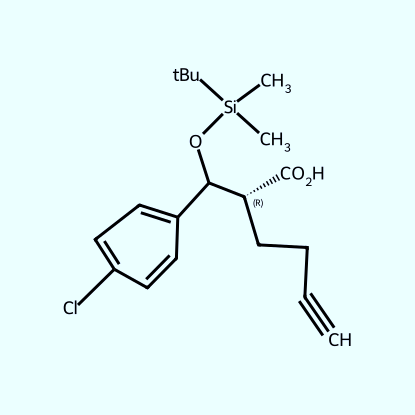 C#CCC[C@@H](C(=O)O)C(O[Si](C)(C)C(C)(C)C)c1ccc(Cl)cc1